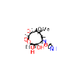 CC[C@H]1OC(=O)[C@H](C)C(=O)[C@H](C)[C@@H](C)[C@](C)(OC)C[C@@H](C)C(=NOC2CCNC2)[C@H](C)[C@@H](O)[C@]1(C)O